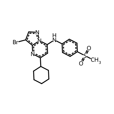 CS(=O)(=O)c1ccc(Nc2cc(C3CCCCC3)nc3c(Br)cnn23)cc1